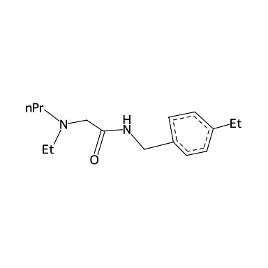 CCCN(CC)CC(=O)NCc1ccc(CC)cc1